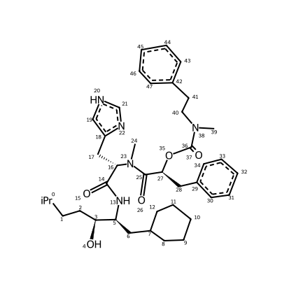 CC(C)CC[C@H](O)[C@H](CC1CCCCC1)NC(=O)[C@H](Cc1c[nH]cn1)N(C)C(=O)[C@H](Cc1ccccc1)OC(=O)N(C)CCc1ccccc1